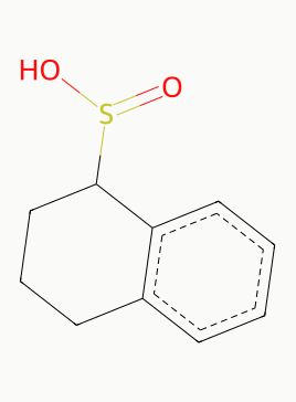 O=S(O)C1CCCc2ccccc21